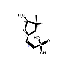 B[C@@H]1O[C@H](/C=C\P(=O)(O)O)C[C@@]1(C)F